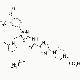 CCOc1ccc(-c2nc(NC(=O)c3cnc(N4CCN(CC(=O)O)C[C@H]4C)cn3)sc2CN2CCC[C@H]2C)cc1C(F)(F)F.Cl.Cl.Cl